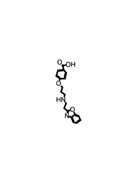 O=C(O)c1ccc(OCCCNCCc2nc3ccccc3o2)cc1